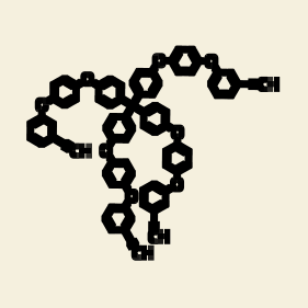 C#Cc1cccc(Oc2ccc(Oc3ccc(C(c4ccc(Oc5ccc(Oc6cccc(C#C)c6)cc5)cc4)(c4ccc(Oc5ccc(Oc6cccc(C#C)c6)cc5)cc4)c4ccc(Oc5ccc(Oc6cccc(C#C)c6)cc5)cc4)cc3)cc2)c1